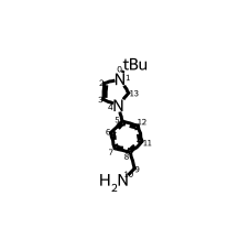 CC(C)(C)N1C=CN(c2ccc(CN)cc2)C1